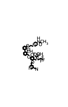 CC(=O)NC1CCN(CCCOc2cccc(-c3cccc(COc4cc(OCc5cncc(C#N)c5)c(CN(CCC(F)(F)F)C(CO)CO)cc4Cl)c3C)c2Cl)CC1